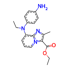 CCOC(=O)c1c(C)nc2c(N(CC)c3ccc(N)cc3)cccn12